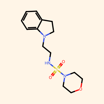 O=S(=O)(NCCN1CCc2ccccc21)N1CCOCC1